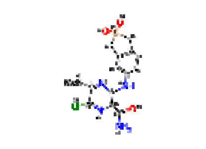 CNc1nc(Nc2ccc3c(c2)CS(=O)(=O)C3)c(C(N)=O)nc1Cl